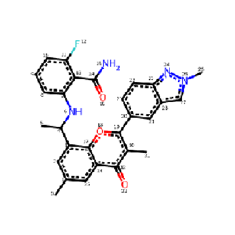 Cc1cc(C(C)Nc2cccc(F)c2C(N)=O)c2oc(-c3ccc4nn(C)cc4c3)c(C)c(=O)c2c1